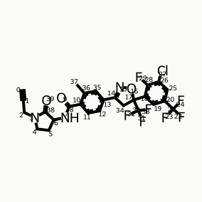 C#CCN1CCC(NC(=O)c2ccc(C3=NOC(c4cc(C(F)(F)F)cc(Cl)c4F)(C(F)(F)F)C3)cc2C)C1=O